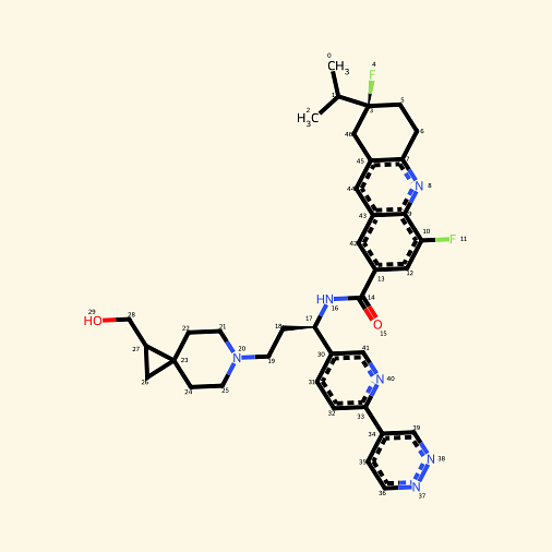 CC(C)[C@]1(F)CCc2nc3c(F)cc(C(=O)N[C@H](CCN4CCC5(CC4)CC5CO)c4ccc(-c5ccnnc5)nc4)cc3cc2C1